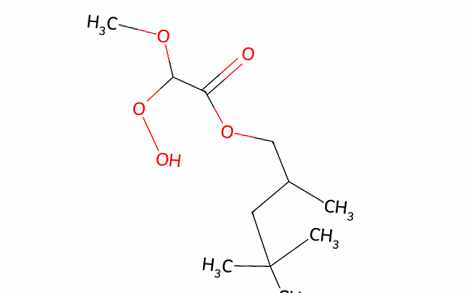 COC(OO)C(=O)OCC(C)CC(C)(C)C